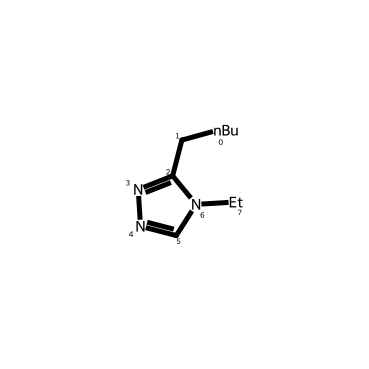 CCCCCc1nncn1CC